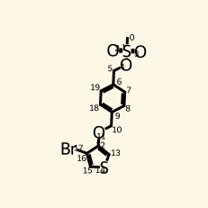 CS(=O)(=O)OCc1ccc(COc2cscc2Br)cc1